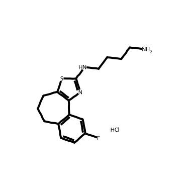 Cl.NCCCCNc1nc2c(s1)CCCc1ccc(F)cc1-2